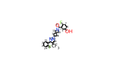 O=C(c1cc(O)ccc1F)N1CC2(CC(n3cc(C(F)(F)F)c(-c4ccccc4F)n3)C2)C1